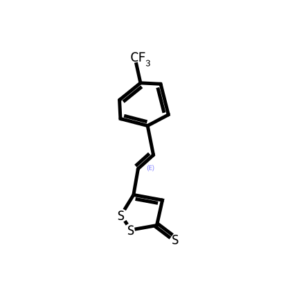 FC(F)(F)c1ccc(/C=C/c2cc(=S)ss2)cc1